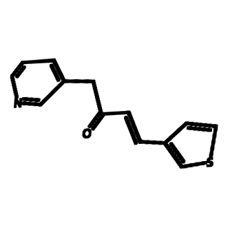 O=C(C=Cc1ccsc1)Cc1cccnc1